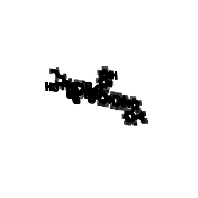 CCCC[C@H](CCO)CNc1ccc(S(=O)(=O)NC(=O)c2ccc(N3CCC4(CC3)CC(N3CCC[C@H]3c3ccccc3C3CC3)C4)cc2Oc2cnc3[nH]ccc3c2)cc1[N+](=O)[O-]